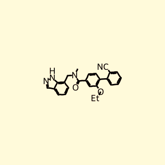 CCOc1cc(C(=O)N(C)Cc2cccc3cn[nH]c23)ccc1-c1ccccc1C#N